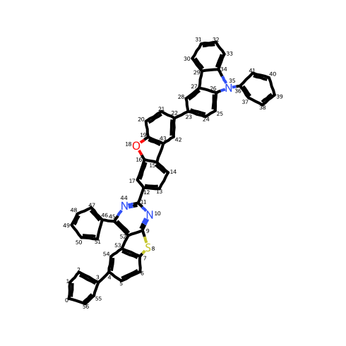 c1ccc(-c2ccc3sc4nc(-c5ccc6c(c5)oc5ccc(-c7ccc8c(c7)c7ccccc7n8-c7ccccc7)cc56)nc(-c5ccccc5)c4c3c2)cc1